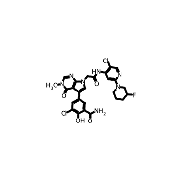 Cn1cnc2c(c(-c3cc(Cl)c(O)c(C(N)=O)c3)cn2CC(=O)Nc2cc(N3CCCC(F)C3)ncc2Cl)c1=O